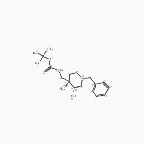 CC(C)(C)OC(=O)NC[C@]1(C)CCN(Cc2ccccc2)C[C@@H]1O